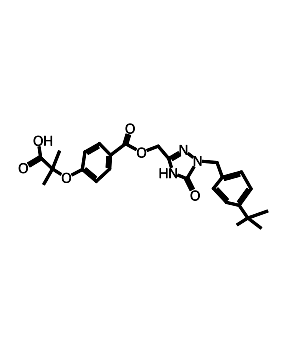 CC(C)(Oc1ccc(C(=O)OCc2nn(Cc3ccc(C(C)(C)C)cc3)c(=O)[nH]2)cc1)C(=O)O